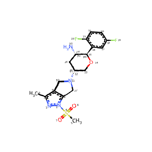 Cc1nn(S(C)(=O)=O)c2c1CN([C@H]1CO[C@H](c3cc(F)ccc3F)[C@@H](N)C1)C2